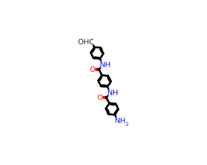 Nc1ccc(C(=O)Nc2ccc(C(=O)Nc3ccc(C=O)cc3)cc2)cc1